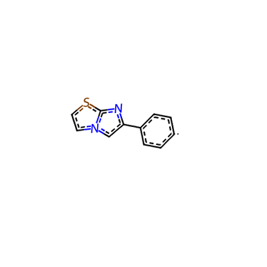 [c]1ccc(-c2cn3ccsc3n2)cc1